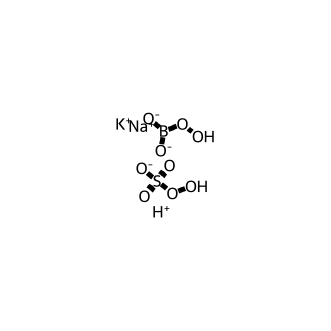 O=S(=O)([O-])OO.[H+].[K+].[Na+].[O-]B([O-])OO